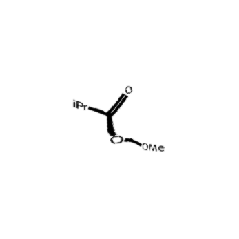 COOC(=O)C(C)C